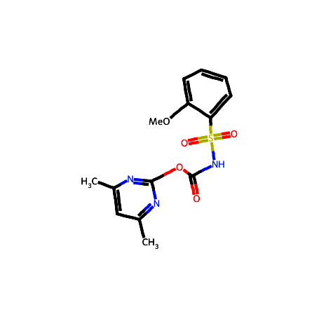 COc1ccccc1S(=O)(=O)NC(=O)Oc1nc(C)cc(C)n1